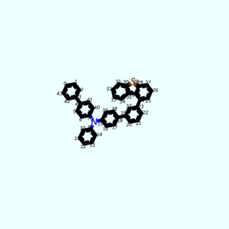 c1ccc(-c2ccc(N(c3ccccc3)c3ccc(-c4cccc(-c5cccc6sc7ccccc7c56)c4)cc3)cc2)cc1